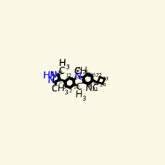 Cc1ccc(-c2c(C)n[nH]c2C)cc1N(C)c1ccc(C2(C#N)CCC2)cc1